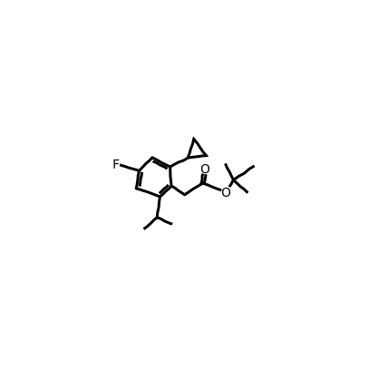 CC(C)c1cc(F)cc(C2CC2)c1CC(=O)OC(C)(C)C